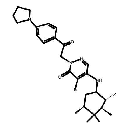 C[C@@H]1[C@@H](C)C(C)(C)[C@@H](C)C[C@H]1Nc1cnn(CC(=O)c2ccc(N3CCCC3)cc2)c(=O)c1Br